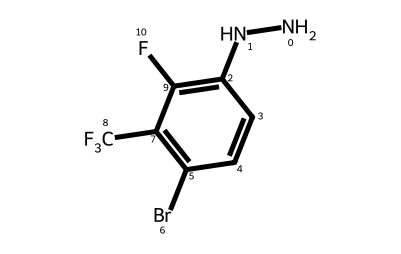 NNc1ccc(Br)c(C(F)(F)F)c1F